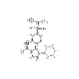 CN(C)S(=O)(=O)c1ccc2c(c1)[nH]c(=O)c1cnc(C3CCCCC3)n12